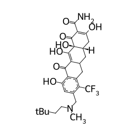 CN(CCC(C)(C)C)Cc1cc(O)c2c(c1C(F)(F)F)CC1C[C@H]3CC(O)=C(C(N)=O)C(=O)[C@@]3(O)C(O)=C1C2=O